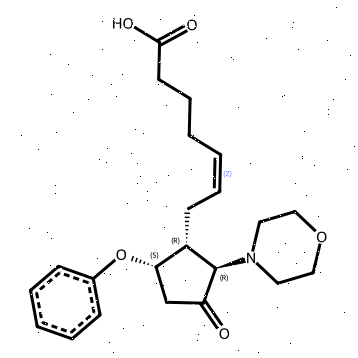 O=C(O)CCC/C=C\C[C@H]1[C@@H](Oc2ccccc2)CC(=O)[C@@H]1N1CCOCC1